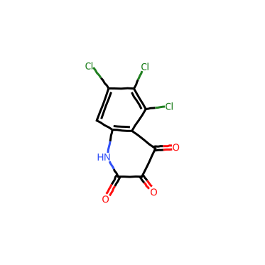 O=C1Nc2cc(Cl)c(Cl)c(Cl)c2C(=O)C1=O